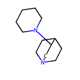 C1CCN(C2CN3CCC2CC3)CC1